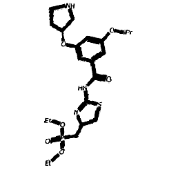 CCOP(=O)(CC1CSC(NC(=O)c2cc(OC(C)C)cc(O[C@H]3CCNC3)c2)=N1)OCC